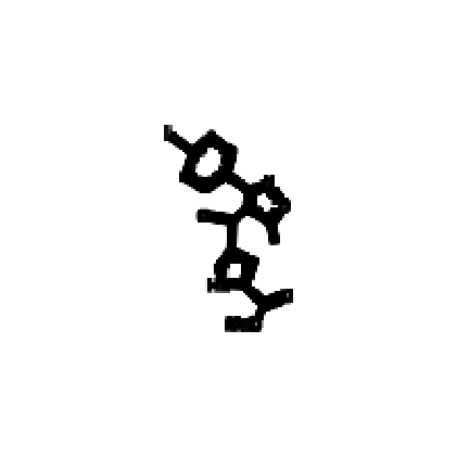 COC(=O)c1cc(C(=O)c2c(-c3ccc(F)cc3)noc2C)c[nH]1